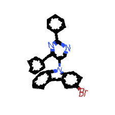 Brc1ccc2c(c1)c1ccccc1n2-c1cnc(-c2ccccc2)nc1-c1ccccc1